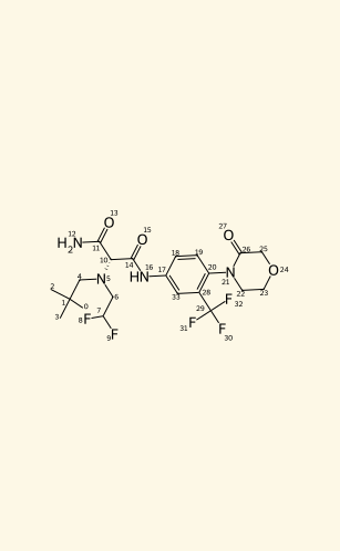 CC(C)(C)CN(CC(F)F)[C@H](C(N)=O)C(=O)Nc1ccc(N2CCOCC2=O)c(C(F)(F)F)c1